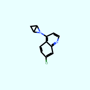 Clc1ccc2c(N3C4CC43)ccnc2c1